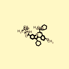 COc1ccc2c(c1)C=C(C(=O)N1C3CCCC1N(C)C3)Cn1c-2c(C2CCCCC2)c2ccc(C(=O)NS(=O)(=O)N(C)C)cc21